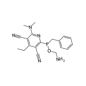 CCc1c(C#N)c(N(C)C)nc(P(Cc2ccccc2)OCN)c1C#N